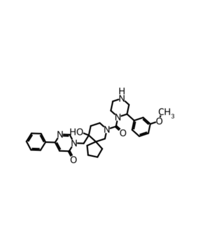 COc1cccc(C2CNCCN2C(=O)N2CCC(O)(Cn3cnc(-c4ccccc4)cc3=O)C3(CCCC3)C2)c1